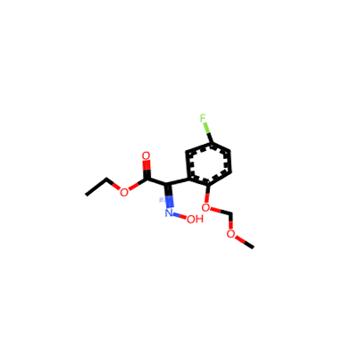 CCOC(=O)/C(=N/O)c1cc(F)ccc1OCOC